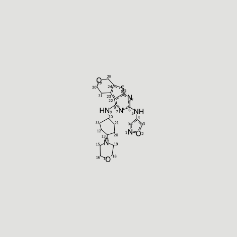 c1nocc1Nc1nc(N[C@H]2CC[C@H](N3CCOCC3)CC2)c2c3c(sc2n1)COCC3